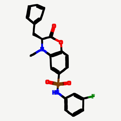 CN1c2cc(S(=O)(=O)Nc3cccc(F)c3)ccc2OC(=O)[C@@H]1Cc1ccccc1